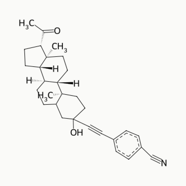 CC(=O)[C@H]1CC[C@H]2[C@@H]3CCC4CC(O)(C#Cc5ccc(C#N)cc5)CC[C@]4(C)[C@H]3CC[C@]12C